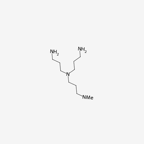 CNCCCN(CCCN)CCCN